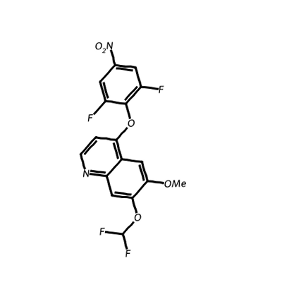 COc1cc2c(Oc3c(F)cc([N+](=O)[O-])cc3F)ccnc2cc1OC(F)F